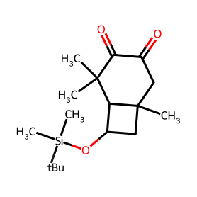 CC12CC(=O)C(=O)C(C)(C)C1C(O[Si](C)(C)C(C)(C)C)C2